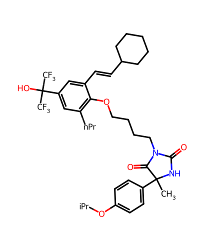 CCCc1cc(C(O)(C(F)(F)F)C(F)(F)F)cc(C=CC2CCCCC2)c1OCCCCN1C(=O)NC(C)(c2ccc(OC(C)C)cc2)C1=O